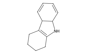 C1=CC2NC3=C(CCCC3)C2C=C1